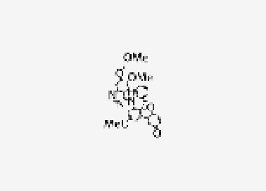 COCCOc1cc2ncnc(Nc3cc(OC)cc(C4=CC(=O)C=CC4=O)c3Sc3ccccc3)c2cc1OC